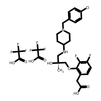 C[C@](O)(CNC1CCN(Cc2ccc(Cl)cc2)CC1)COc1c(CC(=O)O)ccc(F)c1F.O=C(O)C(F)(F)F.O=C(O)C(F)(F)F